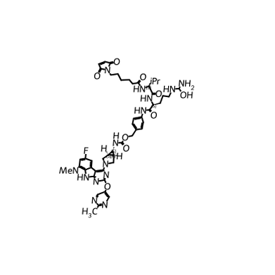 CNc1cc(F)cc2c1[nH]c1nc(Oc3cnc(C)nc3)nc(N3C[C@@H]4[C@H](C3)[C@H]4NC(=O)OCc3ccc(NC(=O)[C@H](CCCNC(N)O)NC(=O)[C@@H](NC(=O)CCCCCN4C(=O)C=CC4=O)C(C)C)cc3)c12